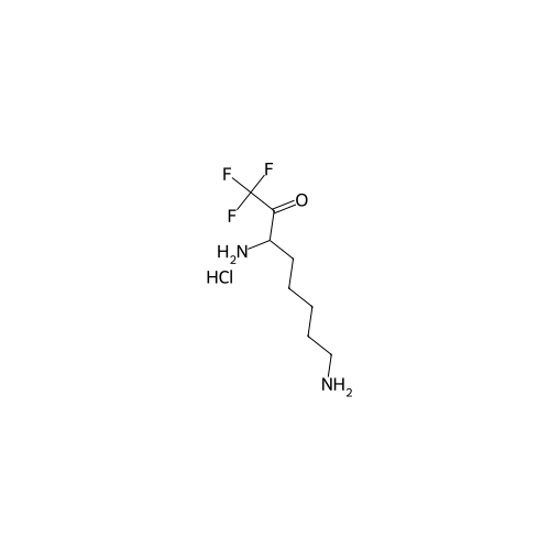 Cl.NCCCCCC(N)C(=O)C(F)(F)F